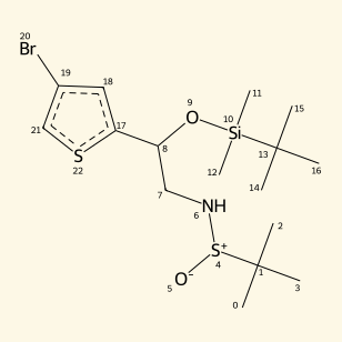 CC(C)(C)[S+]([O-])NCC(O[Si](C)(C)C(C)(C)C)c1cc(Br)cs1